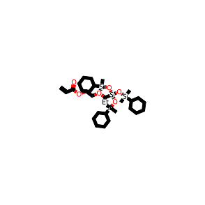 C=CC(=O)OCCOC(CC)[Si](O[Si](C)(C)C1CCCCC1)(O[Si](C)(C)C1CCCCC1)O[Si](C)(C)C1CCCCC1